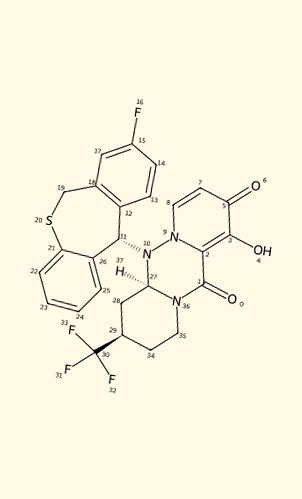 O=C1c2c(O)c(=O)ccn2N([C@H]2c3ccc(F)cc3CSc3ccccc32)[C@@H]2C[C@H](C(F)(F)F)CCN12